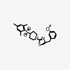 COc1cccc(Cc2csc(N3CCC(S(=O)(=O)c4c(C)cc(C)cc4C)CC3)n2)c1